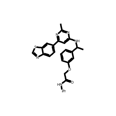 Cc1nc(NC(C)c2cccc(OCC(=O)NC(C)C)c2)cc(-c2ccc3ncsc3c2)n1